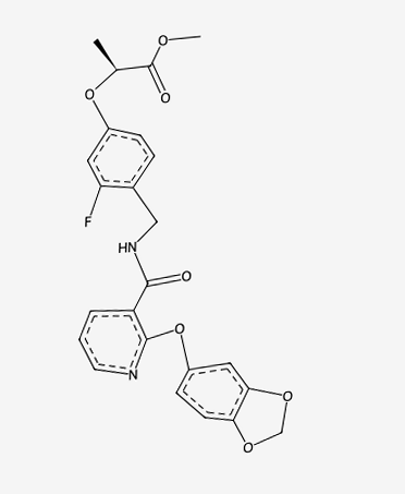 COC(=O)[C@H](C)Oc1ccc(CNC(=O)c2cccnc2Oc2ccc3c(c2)OCO3)c(F)c1